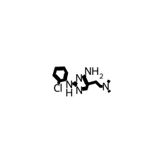 CN(C)CCc1cnc(Nc2ccccc2Cl)nc1N